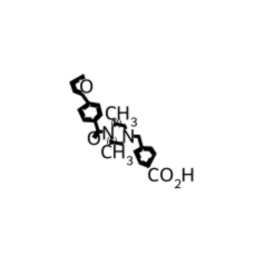 C[C@@H]1CN(Cc2ccc(C(=O)O)cc2)C[C@H](C)N1C(=O)c1ccc(-c2ccco2)cc1